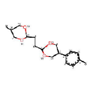 Cc1ccc(C2COC(CCC3OCC(C)CO3)OC2)cc1